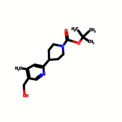 Cc1cc(C2CCN(C(=O)OC(C)(C)C)CC2)ncc1CO